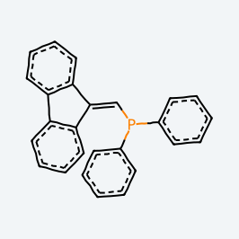 C(=C1c2ccccc2-c2ccccc21)P(c1ccccc1)c1ccccc1